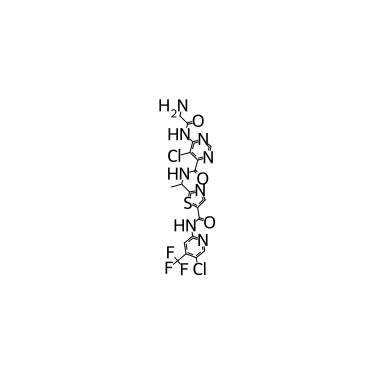 CC(NC(=O)c1ncnc(NC(=O)CN)c1Cl)c1ncc(C(=O)Nc2cc(C(F)(F)F)c(Cl)cn2)s1